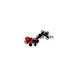 CO[C@H]1C[C@H]2OC[C@@]2(OC(C)=O)[C@H]2[C@H](OC(=O)c3ccccc3)[C@]3(O)C[C@H](OC(=O)[C@H](OC(=O)CCC(=O)Nc4ccc(C[C@H](NC(=O)N[C@@H](CCC(=O)O)OC=O)C(=O)O)cc4)[C@@H](NC(=O)OC(C)(C)C)c4ccccc4)C(C)=C([C@@H](C)C(=O)[C@]12C)C3(C)C